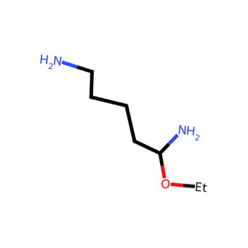 CCOC(N)CCCCN